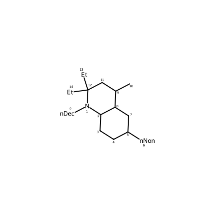 CCCCCCCCCCN1C2CCC(CCCCCCCCC)CC2C(C)CC1(CC)CC